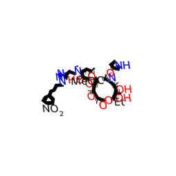 CC[C@H]1OC(=O)[C@H](C)C(=O)[C@H](C)[C@@H](O[C@@H]2O[C@H](C)C[C@H](N(C)CCc3cn(CCCCc4ccc([N+](=O)[O-])cc4)nn3)[C@H]2O)[C@](C)(OC)C[C@@H](C)/C(=N\O[C@@H]2CCNC2)[C@H](C)[C@@H](O)[C@]1(C)O